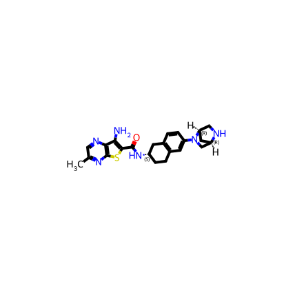 Cc1cnc2c(N)c(C(=O)N[C@H]3CCc4cc(N5C[C@H]6C[C@@H]5CN6)ccc4C3)sc2n1